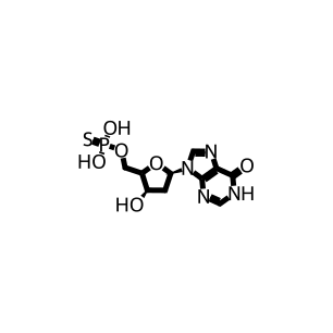 O=c1[nH]cnc2c1ncn2[C@H]1C[C@@H](O)C(COP(O)(O)=S)O1